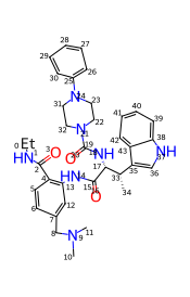 CCNC(=O)c1ccc(CN(C)C)cc1NC(=O)[C@H](NC(=O)N1CCN(c2ccccc2)CC1)[C@@H](C)c1c[nH]c2ccccc12